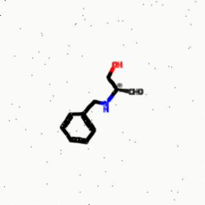 O=C[C@H](CO)NCc1ccccc1